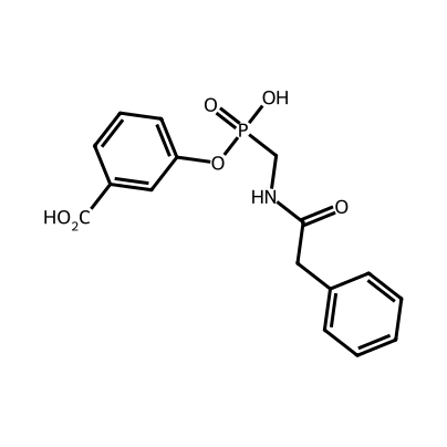 O=C(Cc1ccccc1)NCP(=O)(O)Oc1cccc(C(=O)O)c1